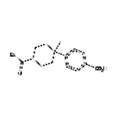 CCC(=O)C1CCC(C)(c2ccc(C(=O)O)cc2)CC1